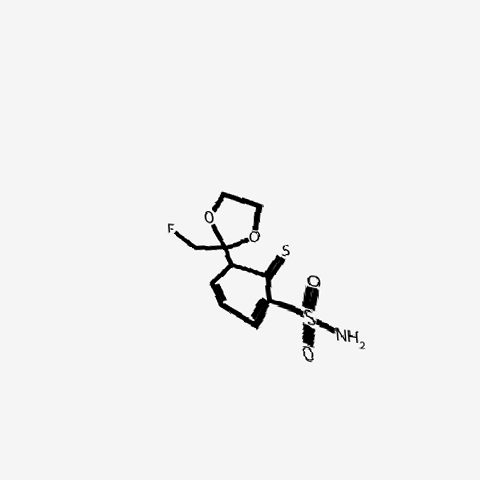 NS(=O)(=O)C1=CC=CC(C2(CF)OCCO2)C1=S